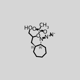 CS(=O)(=O)OC(CO)C[C@@H]1CCCCC[C@H]1N=[N+]=[N-]